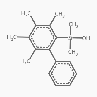 Cc1c(C)c(C)c([Si](C)(C)O)c(-c2ccccc2)c1C